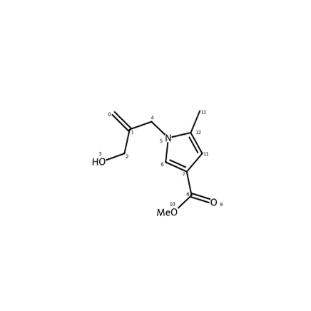 C=C(CO)Cn1cc(C(=O)OC)cc1C